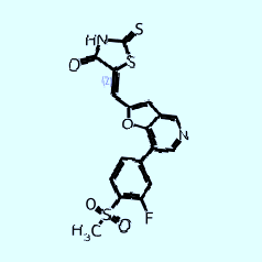 CS(=O)(=O)c1ccc(-c2cncc3cc(/C=C4\SC(=S)NC4=O)oc23)cc1F